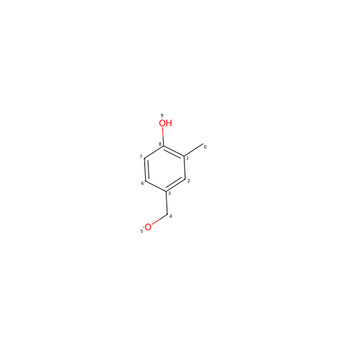 Cc1cc(C[O])ccc1O